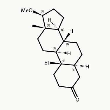 CC[C@]12CCC(=O)C[C@@H]1CC[C@H]1[C@@H]3CC[C@H](OC)[C@@]3(C)CC[C@@H]12